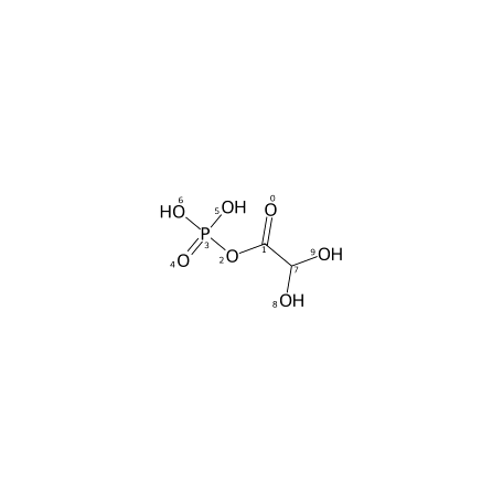 O=C(OP(=O)(O)O)C(O)O